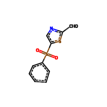 O=Cc1ncc(S(=O)(=O)c2ccccc2)s1